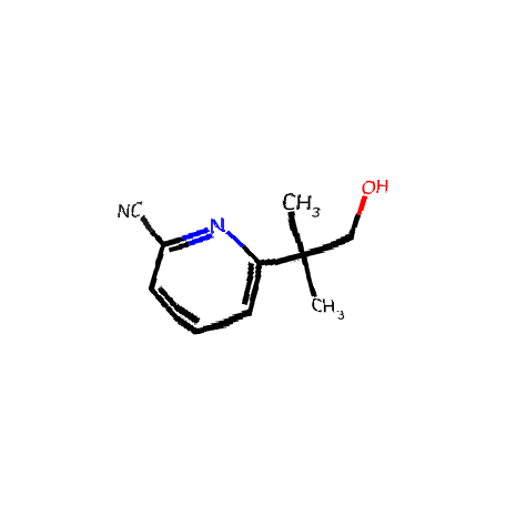 CC(C)(CO)c1cccc(C#N)n1